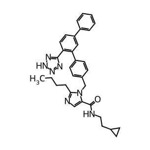 CCCCc1ncc(C(=O)NCCC2CC2)n1Cc1ccc(-c2cc(-c3ccccc3)ccc2-c2nn[nH]n2)cc1